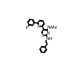 CNc1nc(NCCc2ccccc2)ncc1-c1cccc(-c2cccc(F)c2)n1